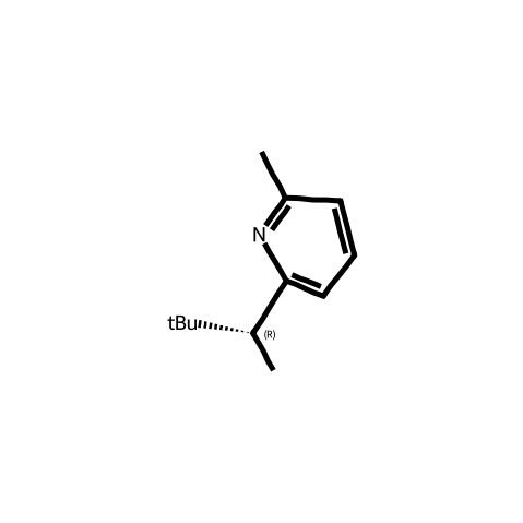 Cc1cccc([C@H](C)C(C)(C)C)n1